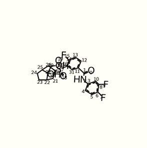 O=C(Nc1ccc(F)c(F)c1)c1ccc(F)c(S(=O)(=O)[C@H]2CC3CCC(C2)[C@]3(O)CO)c1